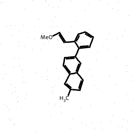 COC=Cc1ccccc1-c1ccc2cc(C)ccc2c1